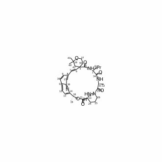 CC(C)[C@@H]1NC(=O)C2(/C=C/c3ccc4ccc(nc4c3)[C@@H](C)OC(=O)[C@@H]3CCCN(N3)C(=O)[C@H](C)NC1=O)CCOC(C)(C)C2